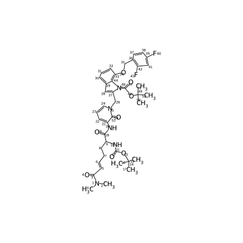 CN(C)C(=O)C=CCCC(NC(=O)OC(C)(C)C)C(=O)Nc1cccn(Cc2cc3cccc(OCc4ccc(F)cc4F)c3n2C(=O)OC(C)(C)C)c1=O